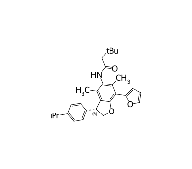 Cc1c(NC(=O)CC(C)(C)C)c(C)c2c(c1-c1ccco1)OC[C@@H]2c1ccc(C(C)C)cc1